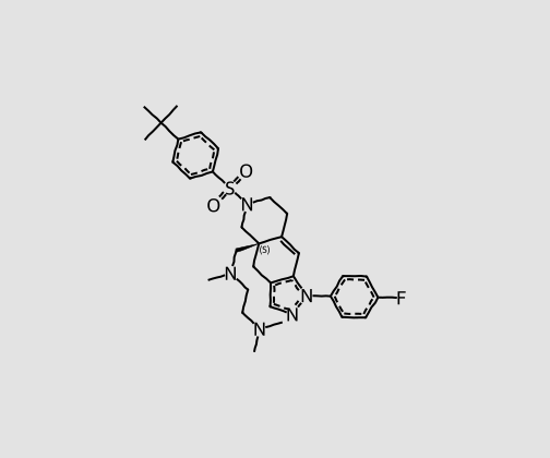 CN(C)CCN(C)C[C@]12Cc3cnn(-c4ccc(F)cc4)c3C=C1CCN(S(=O)(=O)c1ccc(C(C)(C)C)cc1)C2